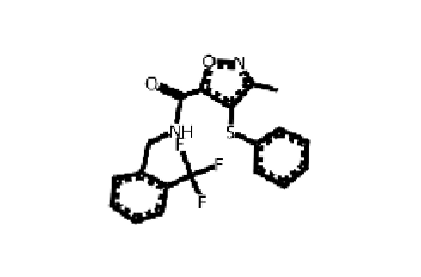 Cc1noc(C(=O)NCc2ccccc2C(F)(F)F)c1Sc1ccccc1